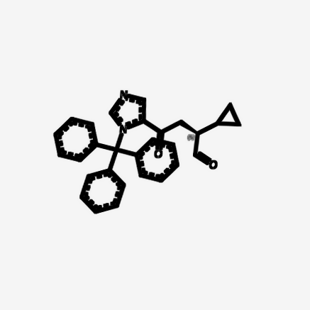 O=C[C@@H](CC(=O)c1cncn1C(c1ccccc1)(c1ccccc1)c1ccccc1)C1CC1